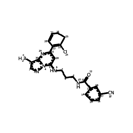 Bc1cnn2c(NCCCNC(=O)c3cccc(C#N)c3)cc(C3=C(Cl)CCC=C3)nc12